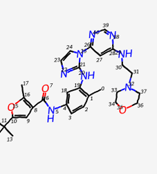 Cc1ccc(NC(=O)c2cc(C(C)(C)C)oc2C)cc1Nc1nccn1-c1cc(NCCN2CCOCC2)ncn1